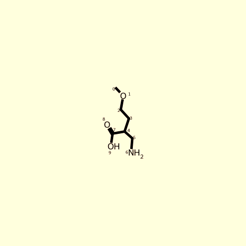 COCCC(CN)C(=O)O